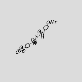 COc1ccc(NC(=O)CSc2nnc(-c3ccc(S(=O)(=O)N4CCCC4)cc3)o2)cc1